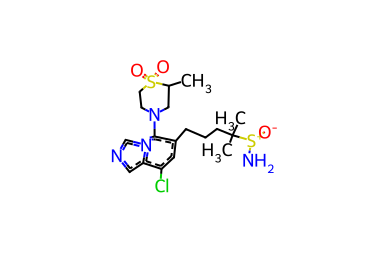 CC1CN(c2c(CCCC(C)(C)[S+](N)[O-])cc(Cl)c3cncn23)CCS1(=O)=O